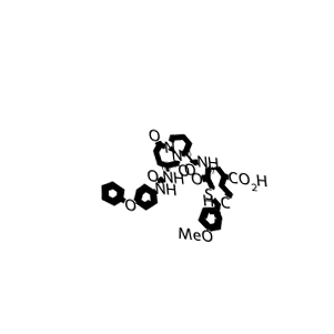 C=CCC(C[C@H](NC(=O)[C@@H]1CCCN2C(=O)CC[C@H](NC(=O)Nc3ccc(Oc4ccccc4)cc3)C(=O)N12)C(=O)CSCc1ccc(OC)cc1)C(=O)O